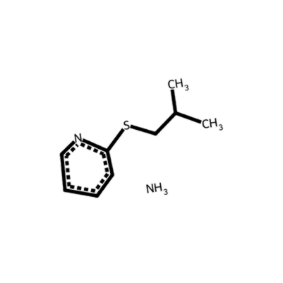 CC(C)CSc1ccccn1.N